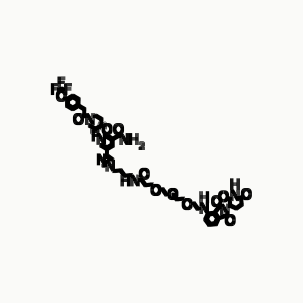 NC(=O)c1cc(-c2cn(CCCCNC(=O)CCOCCOCCOCCNc3cccc4c3C(=O)N(C3CCC(=O)NC3=O)C4=O)cn2)cnc1O[C@@H]1CCN(C(=O)Cc2ccc(OC(F)(F)F)cc2)C[C@H]1F